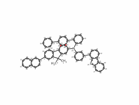 CC1(C)c2cc(-c3ccc4ccccc4c3)ccc2-c2ccc(N(c3cccc(-c4cccc5c4sc4ccccc45)c3)c3ccccc3-c3ccc(-c4ccccc4)cc3)cc21